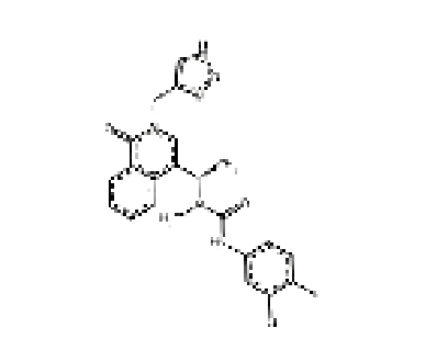 C[C@H](c1cn(Cc2c[nH]nn2)c(=O)c2ccccc12)N(C)C(=O)Nc1ccc(F)c(Cl)c1